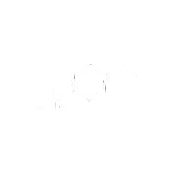 COc1ccc([SeH](=O)(O)O)cc1